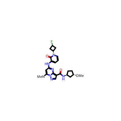 CNc1cc(Nc2cccn([C@H]3C[C@H](F)C3)c2=O)nc2c(C(=O)N[C@H]3CC[C@H](OC)C3)cnn12